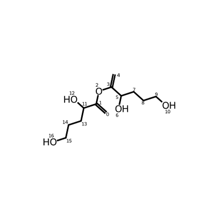 C=C(OC(=C)C(O)CCCO)C(O)CCCO